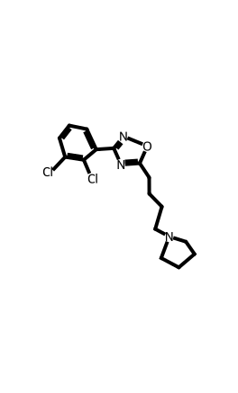 Clc1cccc(-c2noc(CCCCN3CCCC3)n2)c1Cl